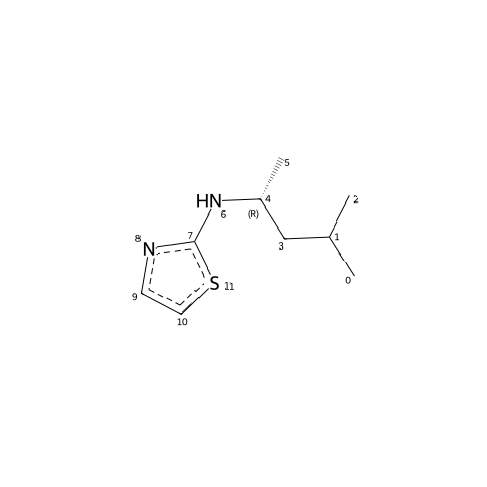 CC(C)C[C@@H](C)Nc1nccs1